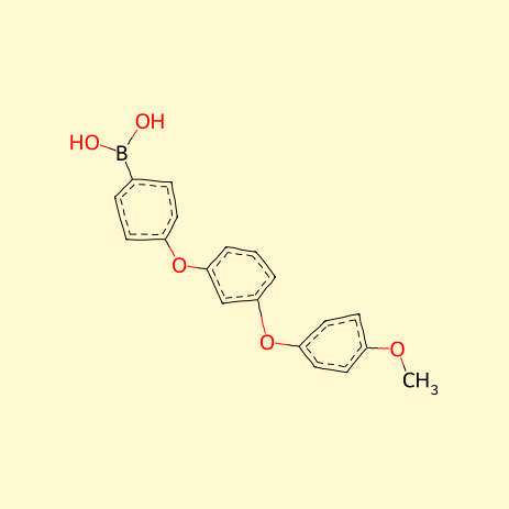 COc1ccc(Oc2cccc(Oc3ccc(B(O)O)cc3)c2)cc1